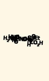 CCC(=O)CC[C@H](NC(=O)c1ccc(NCc2ccc3[nH]c(N)nc(=O)c3c2)cc1)C(=O)O